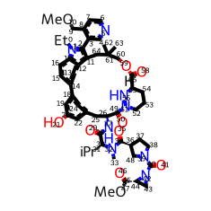 CCn1c(-c2cnccc2COC)c2c3cc(ccc31)-c1cc(O)cc(c1)C[C@H](NC(=O)[C@H](C(C)C)N(C)C(=O)[C@H]1CCN(C(=O)N3C[C@@H]3C(=O)OC)C1)C(=O)N1CCC[C@H](N1)C(=O)OCC(C)(C)C2